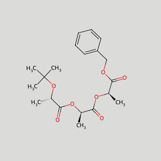 C[C@H](OC(C)(C)C)C(=O)O[C@H](C)C(=O)O[C@H](C)C(=O)OCc1ccccc1